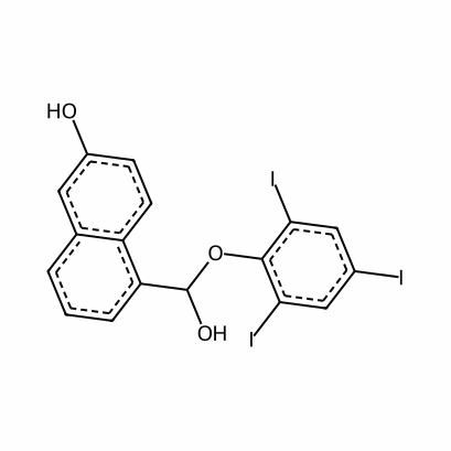 Oc1ccc2c(C(O)Oc3c(I)cc(I)cc3I)cccc2c1